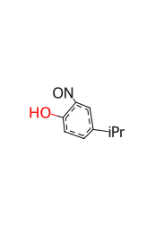 CC(C)c1ccc(O)c(N=O)c1